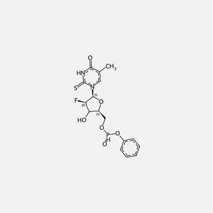 Cc1cn([C@H]2O[C@@H](CO[PH](=O)Oc3ccccc3)C(O)[C@H]2F)c(=S)[nH]c1=O